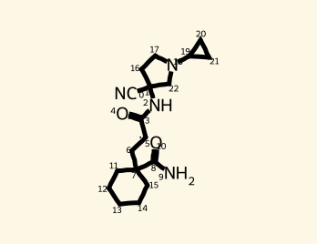 N#CC1(NC(=O)[CH]CC2(C(N)=O)CCCCC2)CCN(C2CC2)C1